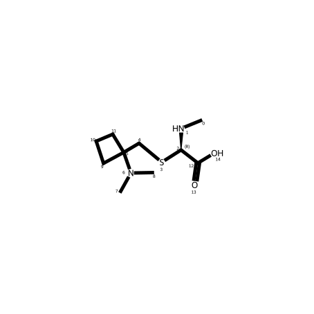 CN[C@H](SCC1(N(C)C)CCC1)C(=O)O